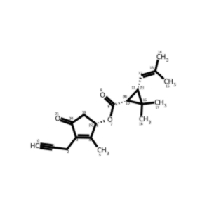 C#CCC1=C(C)[C@@H](OC(=O)[C@@H]2[C@H](C=C(C)C)C2(C)C)CC1=O